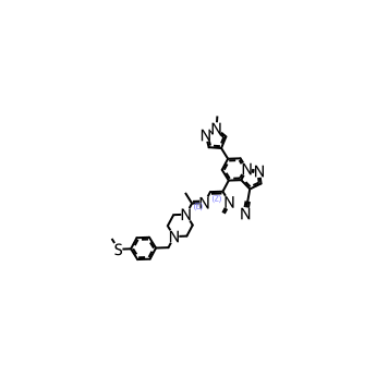 C=N/C(=C\N=C(/C)N1CCN(Cc2ccc(SC)cc2)CC1)c1cc(-c2cnn(C)c2)cn2ncc(C#N)c12